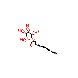 CC#CC#CC#CC#CCC[C@@H](CO)O[C@@H]1O[C@H](CO)[C@@H](O)[C@H](O)[C@H]1O